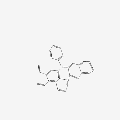 C=Cc1cc2c3c(cccc3c1C=C)-c1cc3ccccc3cc1N2c1ccccc1